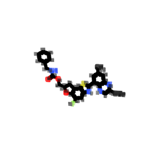 COc1cnc2c(-c3nc4cc(F)c5c(c4s3)C[C@H](COC(=O)NCc3ccccc3)O5)cc(C)cc2n1